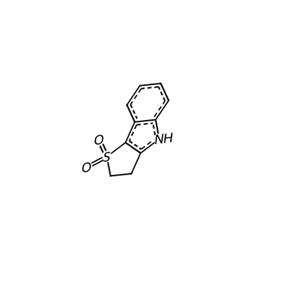 O=S1(=O)CCc2[nH]c3ccccc3c21